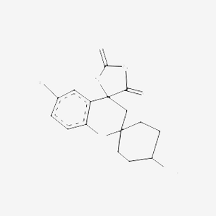 CC1CCC2(CC1)CC1(NC(=O)NC1=O)c1cc(Br)ccc1O2